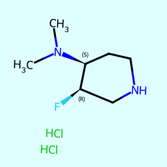 CN(C)[C@H]1CCNC[C@H]1F.Cl.Cl